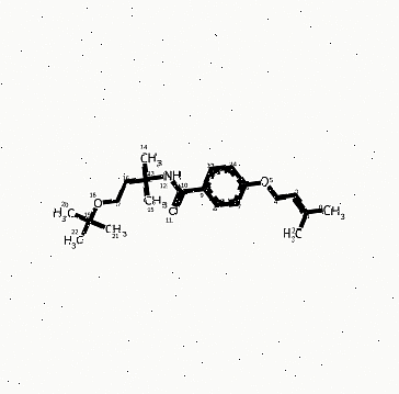 CC(C)=CCOc1ccc(C(=O)NC(C)(C)CCOC(C)(C)C)cc1